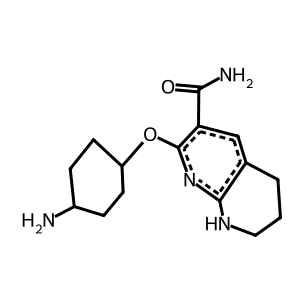 NC(=O)c1cc2c(nc1OC1CCC(N)CC1)NCCC2